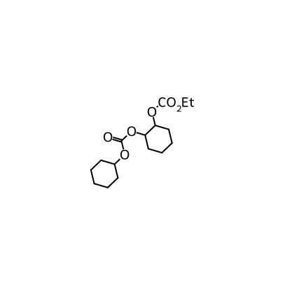 CCOC(=O)OC1CCCCC1OC(=O)OC1CCCCC1